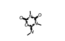 CN=c1oc(=O)n(C)c(=O)n1C